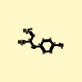 C=CC(C)Oc1ccc(C(C)=O)cc1